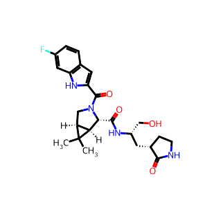 CC1(C)[C@@H]2[C@@H](C(=O)N[C@H](CO)C[C@@H]3CCNC3=O)N(C(=O)c3cc4ccc(F)cc4[nH]3)C[C@@H]21